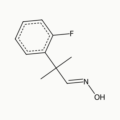 CC(C)(C=NO)c1ccccc1F